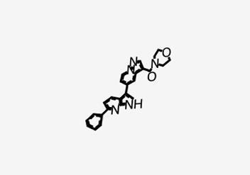 O=C(c1cnn2ccc(-c3c[nH]c4nc(-c5ccccc5)ccc34)cc12)N1CCOCC1